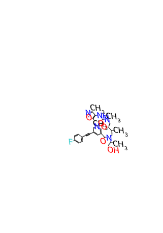 Cc1noc(C)c1NC(=O)N(C)C[C@@H]1Oc2ncc(C#Cc3ccc(F)cc3)cc2C(=O)N(C(C)CO)C[C@@H]1C